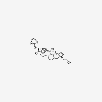 CC12Cc3cnn(CCC#N)c3C=C1CCC1C2[C@@H](O)CC2(C)C1CC[C@]2(O)C(=O)CSc1ncccn1